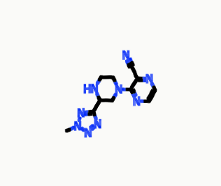 Cn1nnc(C2CN(c3nccnc3C#N)CCN2)n1